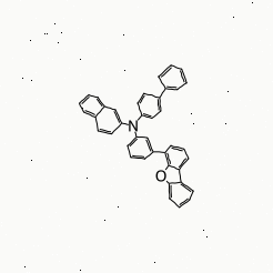 c1ccc(-c2ccc(N(c3cccc(-c4cccc5c4oc4ccccc45)c3)c3ccc4ccccc4c3)cc2)cc1